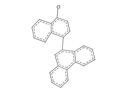 Clc1ccc(-c2cc3ccccc3c3ccccc23)c2ccccc12